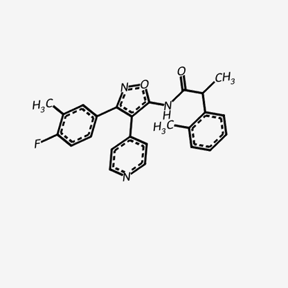 Cc1cc(-c2noc(NC(=O)C(C)c3ccccc3C)c2-c2ccncc2)ccc1F